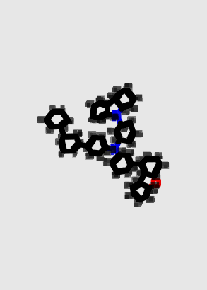 c1ccc(-c2cccc(-c3ccc(N(c4cccc(-c5cccc6oc7ccccc7c56)c4)c4cccc(-n5c6ccccc6c6ccccc65)c4)cc3)c2)cc1